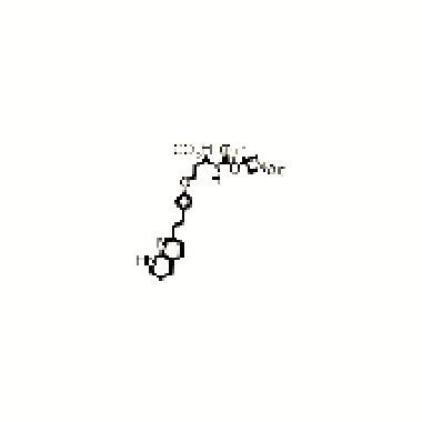 CC(=O)N1CC(C)(OC(=O)N[C@@H](CCOC2CC(CCc3ccc4c(n3)NCCC4)C2)C(=O)O)C1